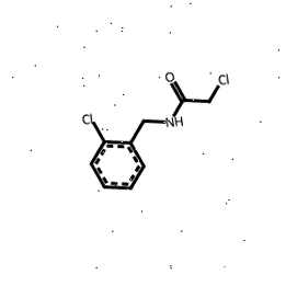 O=C(CCl)NCc1ccccc1Cl